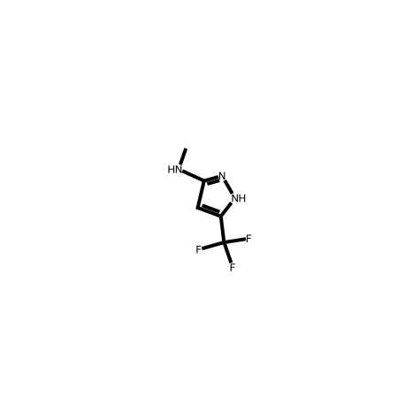 CNc1cc(C(F)(F)F)[nH]n1